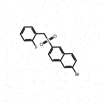 O=S(=O)(Cc1ccccc1F)c1ccc2cc(Br)ccc2c1